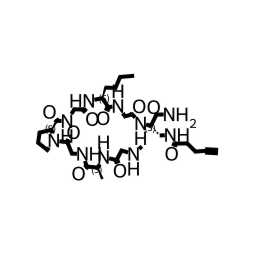 C#CCCC(=O)NC[C@H](NC(=O)CNC(=O)[C@H](CCCC)NC(=O)CNC(=O)[C@@H]1CCCN1C(=O)CNC(=O)[C@H](C)NC(=O)CNC)C(N)=O